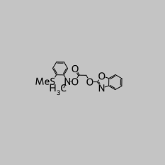 CSc1ccccc1N(C)OC(=O)COc1nc2ccccc2o1